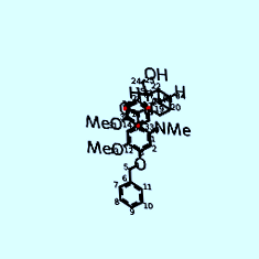 CNc1cc(OCc2ccccc2)c(OC)cc1C(=O)N1CC2[C@H]3C([C@H]1CO)[C@]23c1ccc(OC)cc1